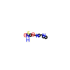 O=C1CSc2cc(OCCCN3CCC(Cc4ccc5ccccc5n4)CC3)ccc2N1